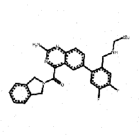 CC(C)(C)CNCc1cc(F)c(F)cc1-c1ccc2nc(N)nc(C(=O)N3Cc4ccccc4C3)c2c1